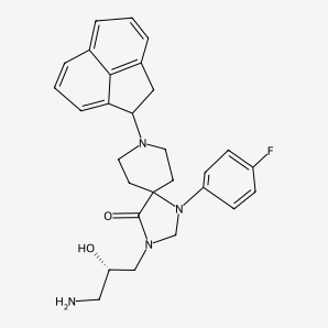 NC[C@H](O)CN1CN(c2ccc(F)cc2)C2(CCN(C3Cc4cccc5cccc3c45)CC2)C1=O